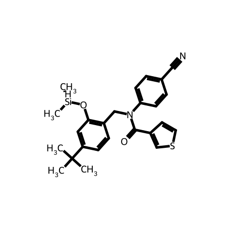 C[SiH](C)Oc1cc(C(C)(C)C)ccc1CN(C(=O)c1ccsc1)c1ccc(C#N)cc1